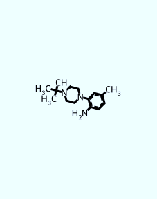 Cc1ccc(N)c(N2CCN(C(C)(C)C)CC2)c1